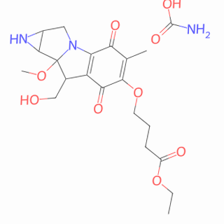 CCOC(=O)CCCOC1=C(C)C(=O)C2=C(C1=O)C(CO)C1(OC)C3NC3CN21.NC(=O)O